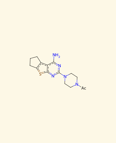 CC(=O)N1CCN(c2nc(N)c3c4c(sc3n2)CCC4)CC1